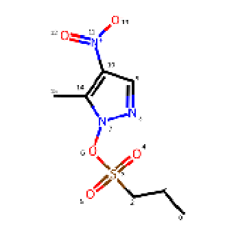 CCCS(=O)(=O)On1ncc([N+](=O)[O-])c1C